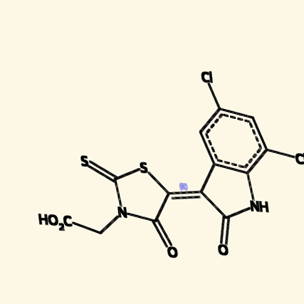 O=C(O)CN1C(=O)/C(=C2\C(=O)Nc3c(Cl)cc(Cl)cc32)SC1=S